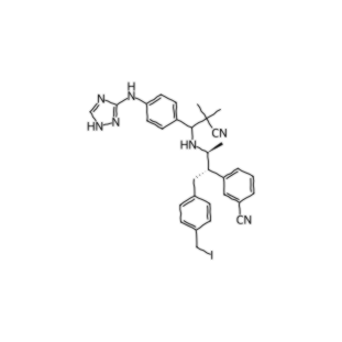 C[C@H](NC(c1ccc(Nc2nc[nH]n2)cc1)C(C)(C)C#N)[C@@H](Cc1ccc(CI)cc1)c1cccc(C#N)c1